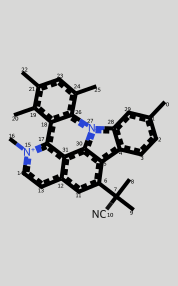 Cc1ccc2c3c(C(C)(C)C#N)cc4cc[n+](C)c5c6c(C)c(C)cc(C)c6n(c2c1)c3c45